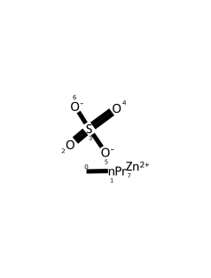 CCCC.O=S(=O)([O-])[O-].[Zn+2]